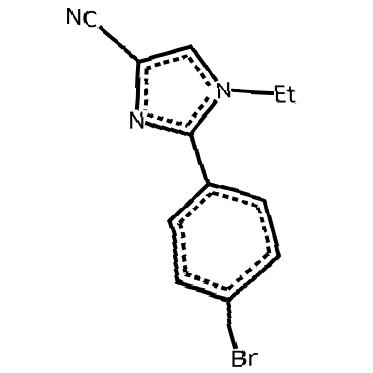 CCn1cc(C#N)nc1-c1ccc(Br)cc1